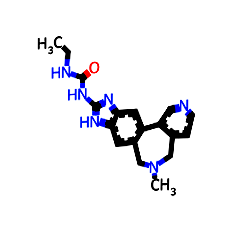 CCNC(=O)Nc1nc2cc3c(cc2[nH]1)CN(C)Cc1ccncc1-3